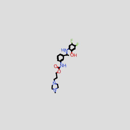 CC(Nc1cc(F)c(F)cc1O)c1cccc(NC(=O)OCCCN2CCN(C)CC2)c1